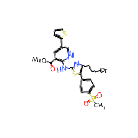 COC(=O)c1cc(-c2cccs2)cnc1Nc1nc(CCC(C)C)c(-c2ccc(S(C)(=O)=O)cc2)s1